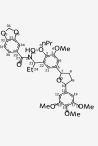 CCCOc1c(OC)cc(C2CCC(c3cc(OC)c(OC)c(OC)c3)O2)cc1C(CC)N(O)C(=O)c1ccc2c(c1)OCO2